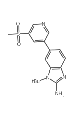 CC(C)(C)n1c(N)nc2ccc(-c3cncc(S(C)(=O)=O)c3)cc21